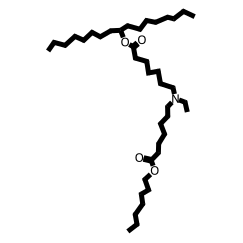 CCCCCCCCC(CCCCCCCC)OC(=O)CCCCCCN(CC)CCCCCCC(=O)OCCCCCCC